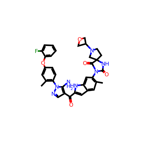 Cc1cc2cc(C(=O)c3cnn(-c4ccc(Oc5ccccc5F)cc4C)c3N)[nH]c2cc1N1C(=O)NC2(CCN(C3COC3)C2)C1=O